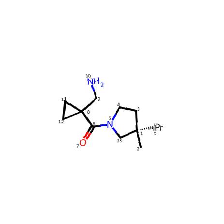 CC(C)[C@@]1(C)CCN(C(=O)C2(CN)CC2)C1